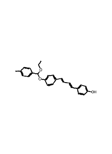 CCOC(Oc1ccc(C=CC=Cc2ccc(O)cc2)cc1)c1ccc(C)cc1